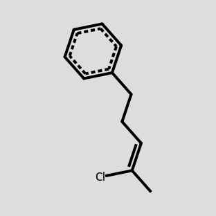 CC(Cl)=CCCc1ccccc1